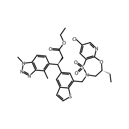 CCOC(=O)C[C@@H](c1cc(CN2C[C@@H](CC)Oc3ncc(Cl)cc3S2(=O)=O)c2sccc2c1)c1ccc2c(nnn2C)c1C